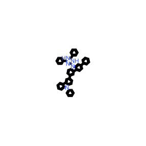 c1ccc(C2=NC(n3c4ccc(-c5ccc6c(c5)c5ccccc5n6-c5ccccc5)cc4c4ccc(-c5ccccc5)cc43)NC(c3ccccc3)N2)cc1